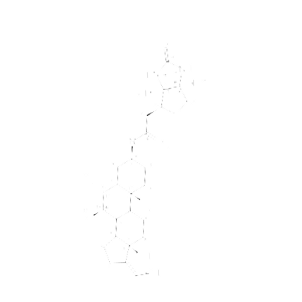 C/C=C1/CCC2C3C(CC[C@]12C)[C@@]1(C)CC[C@H](NC(=O)C[C@@H]2SC[C@@H]4NC(=O)N[C@@H]42)CC1[C@@H](O)[C@@H]3O